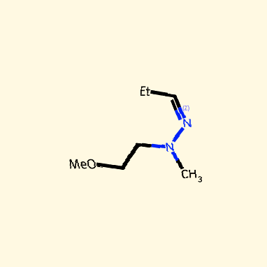 CC/C=N\N(C)CCOC